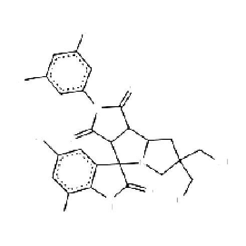 O=C1C2C3CC(CO)(CO)CN3C3(C(=O)Nc4c(Cl)cc(Cl)cc43)C2C(=O)N1c1cc(Cl)cc(Cl)c1